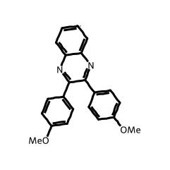 COc1ccc(-c2nc3c[c]ccc3nc2-c2ccc(OC)cc2)cc1